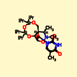 Cc1cn([C@@H]2O[C@]34CO[Si](C(C)C)(C(C)C)O[Si](C(C)C)(C(C)C)OC3C2ON(C)[C@@H]4C)c(=O)[nH]c1=O